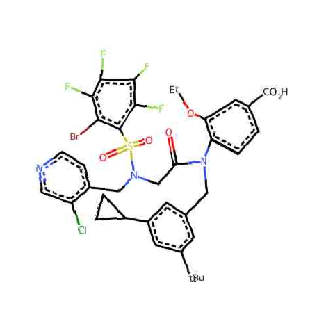 CCOc1cc(C(=O)O)ccc1N(Cc1cc(C2CC2)cc(C(C)(C)C)c1)C(=O)CN(Cc1ccncc1Cl)S(=O)(=O)c1c(F)c(F)c(F)c(F)c1Br